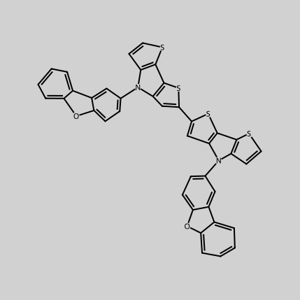 c1ccc2c(c1)oc1ccc(-n3c4ccsc4c4sc(-c5cc6c(s5)c5sccc5n6-c5ccc6oc7ccccc7c6c5)cc43)cc12